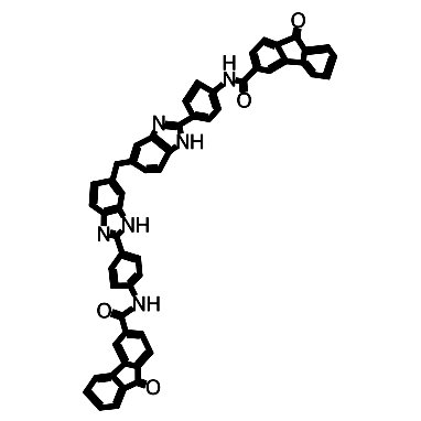 O=C(Nc1ccc(-c2nc3cc(Cc4ccc5nc(-c6ccc(NC(=O)c7ccc8c(c7)-c7ccccc7C8=O)cc6)[nH]c5c4)ccc3[nH]2)cc1)c1ccc2c(c1)-c1ccccc1C2=O